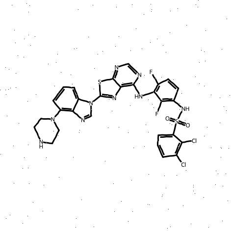 O=S(=O)(Nc1ccc(F)c(Nc2ncnc3sc(-n4cnc5c(N6CCNCC6)cccc54)nc23)c1F)c1cccc(Cl)c1Cl